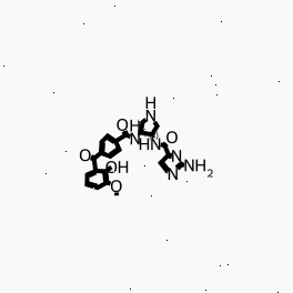 COc1cccc(C(=O)c2ccc(C(=O)N[C@@H]3CNC[C@H]3NC(=O)c3ccnc(N)n3)cc2)c1O